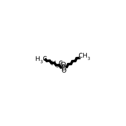 CCCCCCCCP(=O)(CCCCCCCC)OC